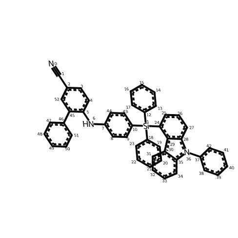 N#Cc1ccc(Nc2ccc([Si](c3ccccc3)(c3ccccc3)c3cccc4c3c3ccccc3n4-c3ccccc3)cc2)c(-c2ccccc2)c1